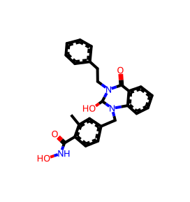 Cc1cc(CN2c3ccccc3C(=O)N(CCc3ccccc3)C2O)ccc1C(=O)NO